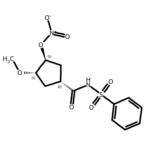 CO[C@H]1C[C@@H](C(=O)NS(=O)(=O)c2ccccc2)C[C@@H]1O[N+](=O)[O-]